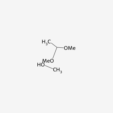 CO.COC(C)OC